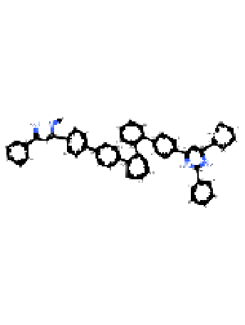 C=N/C(=C\C(=N)c1ccccc1)c1ccc(-c2ccc(-c3ccccc3-c3ccccc3-c3ccc(-c4cc(-c5ccccc5)nc(-c5ccccc5)n4)cc3)cc2)cc1